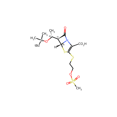 C[C@@H](O[Si](C)(C)C(C)(C)C)[C@H]1C(=O)N2C(C(=O)O)=C(SCCOS(C)(=O)=O)S[C@H]12